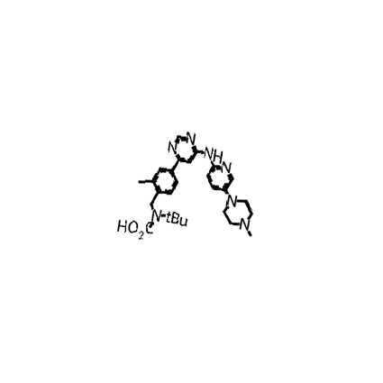 Cc1cc(-c2cc(Nc3ccc(N4CCN(C)CC4)cn3)ncn2)ccc1CN(C(=O)O)C(C)(C)C